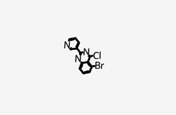 Clc1nc(-c2cccnc2)nc2cccc(Br)c12